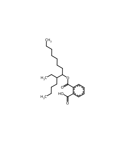 CCCCCCCC(OC(=O)c1ccccc1C(=O)O)C(CC)CCCC